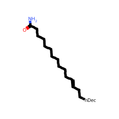 CCCCCCCCCCCCC=CCCCCCCCCCCC(N)=O